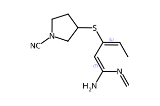 C=N/C(N)=C\C(=C/C)SC1CCN(C#N)C1